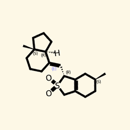 C[C@H]1CCC2=C(C1)[C@@H](/C=C1\CCC[C@]3(C)CCC[C@@H]13)S(=O)(=O)C2